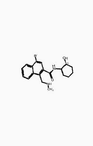 CNCc1c(C(=O)NC2CCCC[C@@H]2O)cc(Br)c2ccccc12